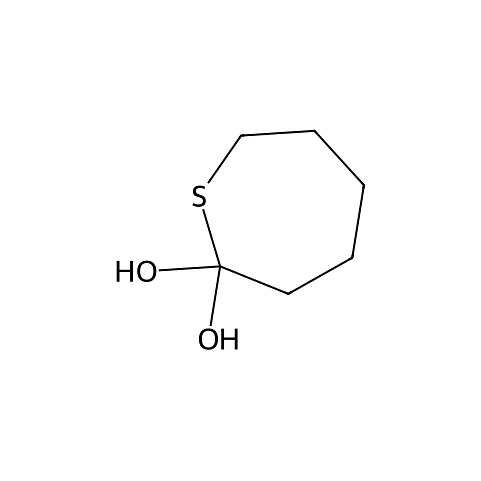 OC1(O)CCCCCS1